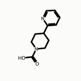 O=C(O)N1CCC(c2ccccn2)CC1